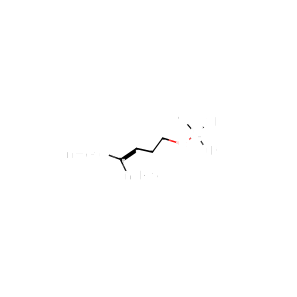 CCCCCCCC(=CCCO[Si](C)(C)C(C)(C)C)CCCCCCC